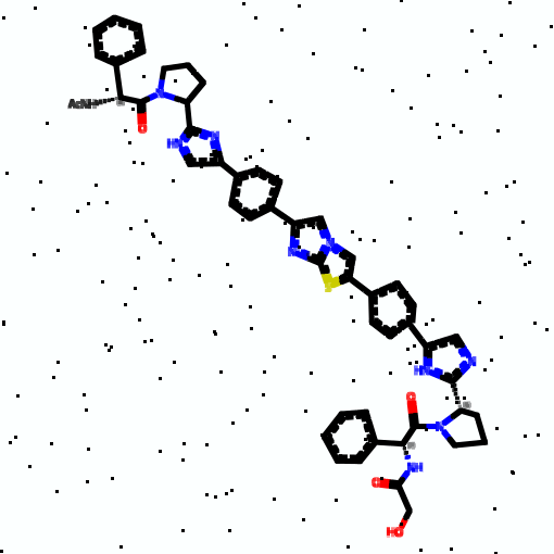 CC(=O)N[C@@H](C(=O)N1CCCC1c1nc(-c2ccc(-c3cn4cc(-c5ccc(-c6cnc([C@@H]7CCCN7C(=O)[C@H](NC(=O)CO)c7ccccc7)[nH]6)cc5)sc4n3)cc2)c[nH]1)c1ccccc1